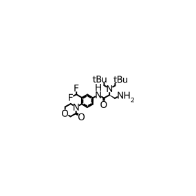 CC(C)(C)CN(CC(C)(C)C)[C@@H](CN)C(=O)Nc1ccc(N2CCOCC2=O)c(C(F)F)c1